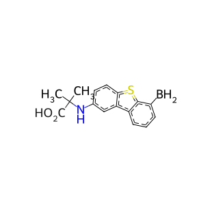 Bc1cccc2c1sc1ccc(NC(C)(C)C(=O)O)cc12